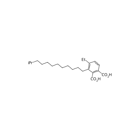 CCc1ccc(C(=O)O)c(C(=O)O)c1CCCCCCCCCCC(C)C